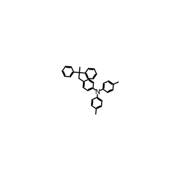 Cc1ccc(N(c2ccc(C)cc2)c2ccc(CC(C)(c3ccccc3)c3ccccc3)cc2)cc1